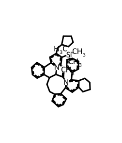 C=C1C2C(CCc3ccccc3-c3cc4c(c(-c5ccccc5)[n+]31)CCCC4)c1ccccc1-c1cc(CC3CCCC3)c([Si](C)(C)C)c[n+]12